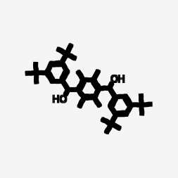 Cc1c(C)c(C(O)c2cc(C(C)(C)C)cc(C(C)(C)C)c2)c(C)c(C)c1C(O)c1cc(C(C)(C)C)cc(C(C)(C)C)c1